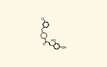 O=C(/C=C/c1ccc(O)cc1O)N1CCN(Cc2cccc(Cl)c2)CC1